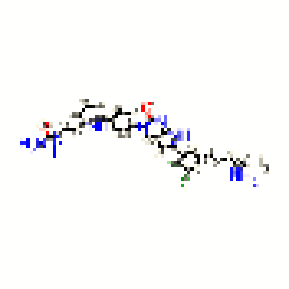 C[C@H](N)CCCc1cc(Cl)c(F)c(-c2cc3cn(-c4ccc([C@@H]5CCC[C@@H](CCNC(N)=O)N5)cc4)c(=O)nc3[nH]2)c1